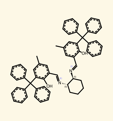 Cc1cc(/C=N/[C@H]2CCCC[C@@H]2/N=C/c2cc(C)cc(C(c3ccccc3)(c3ccccc3)c3ccccc3)c2O)c(O)c(C(c2ccccc2)(c2ccccc2)c2ccccc2)c1